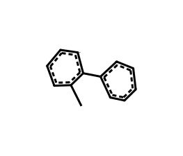 Cc1ccc[c]c1-c1ccccc1